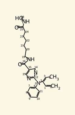 C=C/C(=C\C)N(c1ccccc1)c1ncc(C(=O)NCCCCCCC(=O)NO)cn1